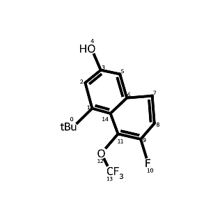 CC(C)(C)c1cc(O)cc2ccc(F)c(OC(F)(F)F)c12